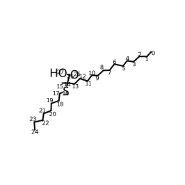 CCCCCCCCCCCCCCC(C)(SCCCCCCCC)C(=O)O